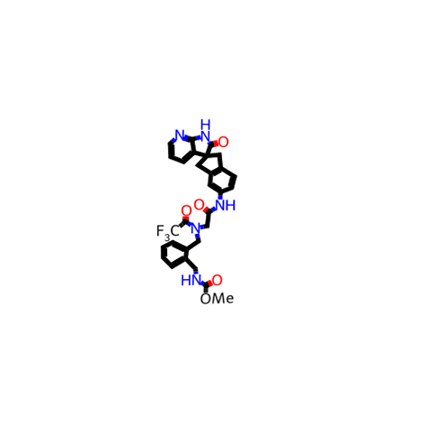 COC(=O)NCc1ccccc1CN(CC(=O)Nc1ccc2c(c1)CC1(C2)C(=O)Nc2ncccc21)C(=O)C(F)(F)F